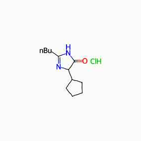 CCCCC1=NC(C2CCCC2)C(=O)N1.Cl